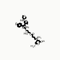 C[C@@H]1CC(N(C)CCCC(=O)OCC(O)CSc2nc(-c3ccc(F)cc3)c(-c3ccnc(NC4CCOCC4)c3)[nH]2)C[C@H](O)O1